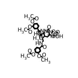 CC(=O)Oc1ccc(C(=O)NCC(C)C2C[C@@H]3CN(C(=O)N3OS(=O)(=O)O)[C@]2(NC(=O)c2ccc(OC(C)=O)c(OC(C)=O)c2)C(=O)O)cc1OC(C)=O